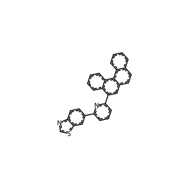 c1cc(-c2ccc3ncsc3c2)nc(-c2cc3ccc4ccccc4c3c3ccccc23)c1